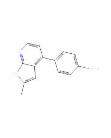 CNc1ccc(-c2ccnc3[nH]c(C)cc23)cc1